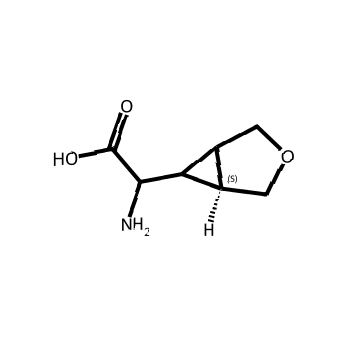 NC(C(=O)O)C1C2COC[C@H]21